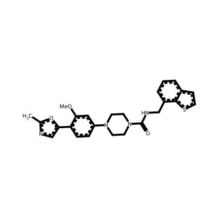 COc1cc(N2CCN(C(=O)NCc3cccc4ccsc34)CC2)ccc1-c1cnc(C)o1